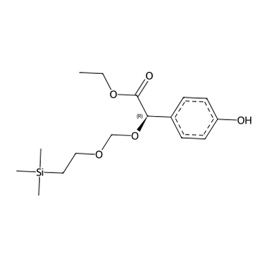 CCOC(=O)[C@H](OCOCC[Si](C)(C)C)c1ccc(O)cc1